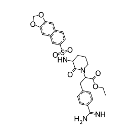 CCOC(=O)C(Cc1ccc(C(=N)N)cc1)N1CCCC(NS(=O)(=O)c2ccc3cc4c(cc3c2)OCO4)C1=O